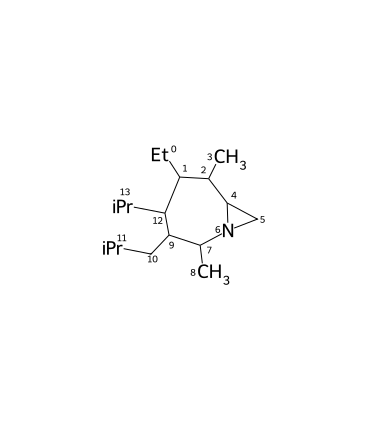 CCC1C(C)C2CN2C(C)C(CC(C)C)C1C(C)C